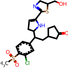 CS(=O)(=O)c1ccc(C(CC2CCC(=O)C2)C2CC=C(C3=NCC(CO)S3)N2)cc1Cl